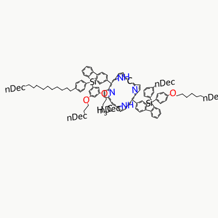 CCCCCCCCCCCCCCCCCCCCc1ccc([Si]2(c3cc(OCCCCCCCCCCCC)cc(OCCCCCCCCCCCC)c3)c3ccccc3-c3ccc(-c4c5nc(c(C)c6ccc([nH]6)c(-c6ccc7c(c6)[Si](c6ccc(OCCCCCCCCCCCCCCCC)cc6)(c6cccc(CCCCCCCCCC)c6)c6ccccc6-7)c6nc(cc7ccc4[nH]7)C=C6)C=C5)cc32)cc1